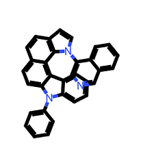 c1ccc(-n2c3ccccc3c3c4c(ccc5ccn(-c6cncc7ccccc67)c54)ccc32)cc1